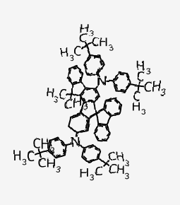 CC(C)(C)c1ccc(N(c2ccc(C(C)(C)C)cc2)c2cc3c(c4c2-c2ccccc2C4(C)C)C2=CCC(N(c4ccc(C(C)(C)C)cc4)c4ccc(C(C)(C)C)cc4)C=C2C32c3ccccc3-c3ccccc32)cc1